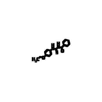 CCOc1ccc(NC(=S)NC(=O)c2ccccc2)cc1